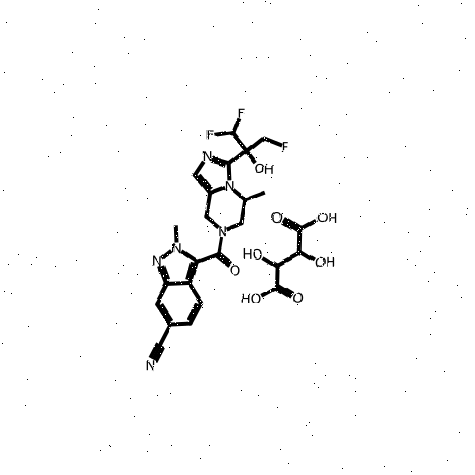 CC1CN(C(=O)c2c3ccc(C#N)cc3nn2C)Cc2cnc(C(O)(CF)C(F)F)n21.O=C(O)C(O)C(O)C(=O)O